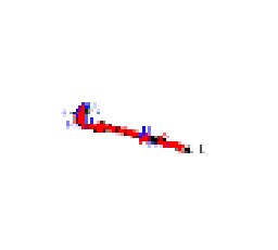 CCCOCCOCCNC(=O)NCCCCNC(=O)NCCOCCOCCOCCOc1ccc(CCCCNC(=N)NC(=O)c2nc(Cl)c(N)nc2N)cc1